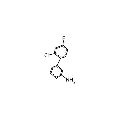 Nc1cccc(-c2ccc(F)cc2Cl)c1